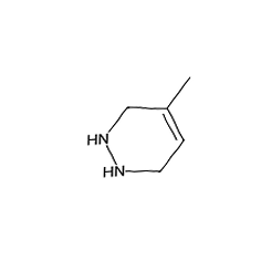 CC1=CCNNC1